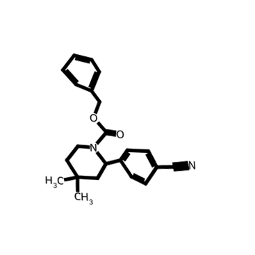 CC1(C)CCN(C(=O)OCc2ccccc2)C(c2ccc(C#N)cc2)C1